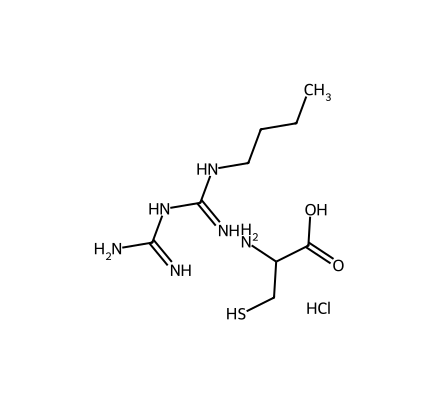 CCCCNC(=N)NC(=N)N.Cl.NC(CS)C(=O)O